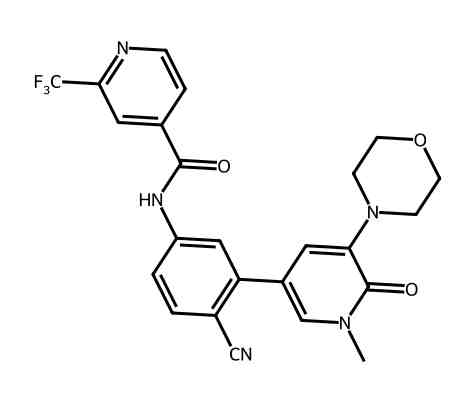 Cn1cc(-c2cc(NC(=O)c3ccnc(C(F)(F)F)c3)ccc2C#N)cc(N2CCOCC2)c1=O